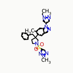 CCn1cc(-n2ncc3cc(C4(Cc5ccccc5)CCN(S(=O)(=O)c5cnn(C)n5)C4)c(C)cc32)cn1